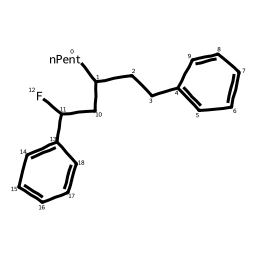 CCCCCC(CCc1ccccc1)CC(F)c1ccccc1